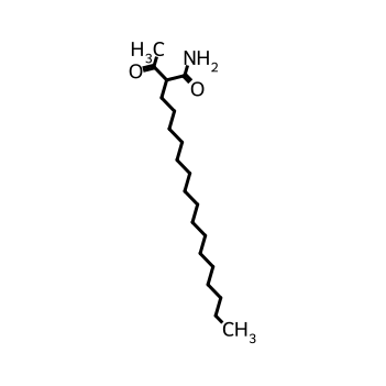 CCCCCCCCCCCCCCCCC(C(C)=O)C(N)=O